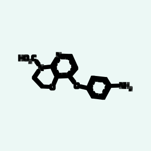 Nc1ccc(Oc2ccnc3c2OCCN3C(=O)O)cc1